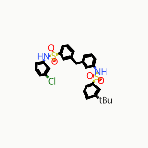 CC(C)(C)c1cccc(S(=O)(=O)Nc2cccc(Cc3cccc(S(=O)(=O)Nc4cccc(Cl)c4)c3)c2)c1